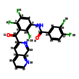 O=C(Nc1cc(F)c(F)c(C(=O)c2cc3cccnc3cn2)c1F)c1ccc(F)c(F)c1